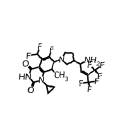 CC1c2c(c(=O)[nH]c(=O)n2C2CC2)C(C(F)F)=C(F)C1N1CCC(C(N)C=C(C(F)(F)F)C(F)(F)F)C1